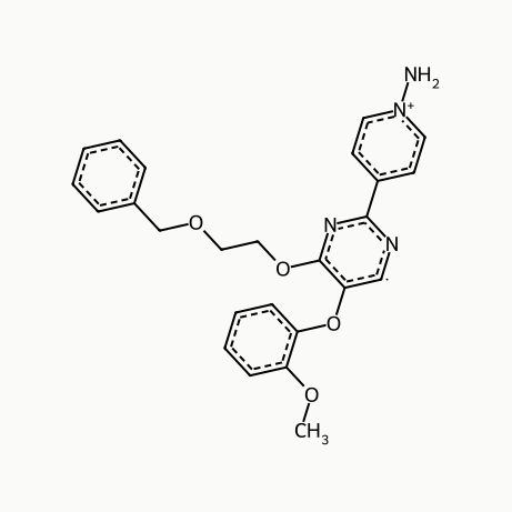 COc1ccccc1Oc1[c]nc(-c2cc[n+](N)cc2)nc1OCCOCc1ccccc1